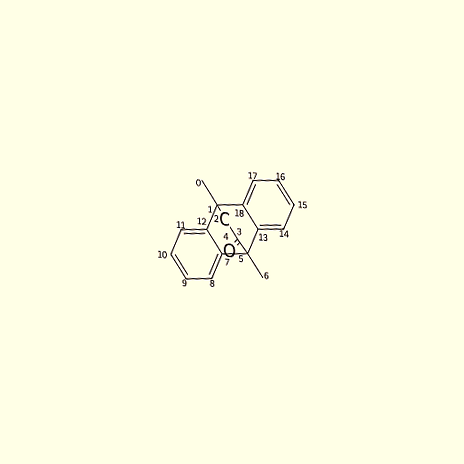 CC12CC(=O)C(C)(c3ccccc31)c1ccccc12